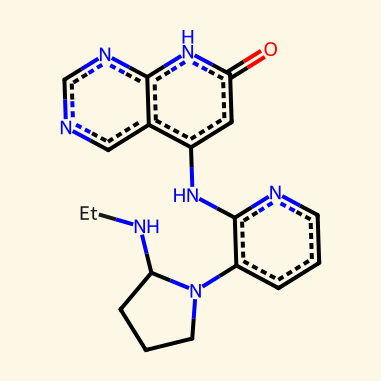 CCNC1CCCN1c1cccnc1Nc1cc(=O)[nH]c2ncncc12